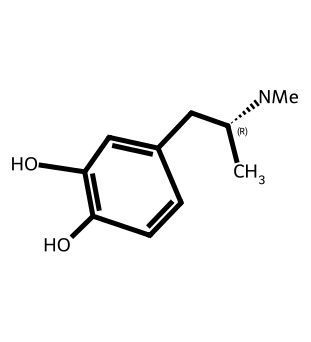 CN[C@H](C)Cc1ccc(O)c(O)c1